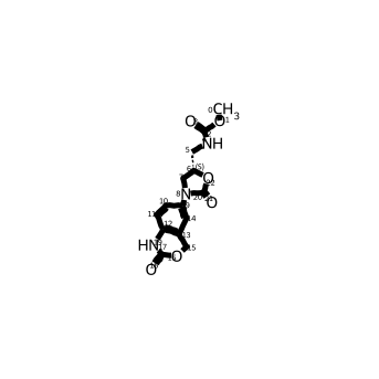 COC(=O)NC[C@H]1CN(c2ccc3c(c2)COC(=O)N3)C(=O)O1